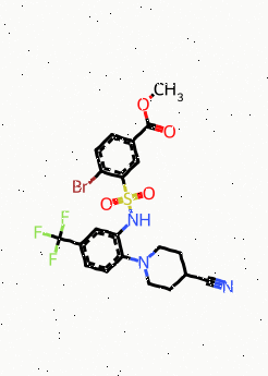 COC(=O)c1ccc(Br)c(S(=O)(=O)Nc2cc(C(F)(F)F)ccc2N2CCC(C#N)CC2)c1